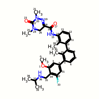 COc1cc(-c2cccc(-c3cccc(NC(=O)C4=NN(C)C(=O)N(C)C4)c3C)c2C)cc(F)c1CNC(C)C